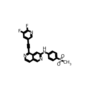 CS(=O)(=O)c1ccc(Nc2cc3c(C#Cc4cnc(F)c(F)c4)nccc3cn2)cc1